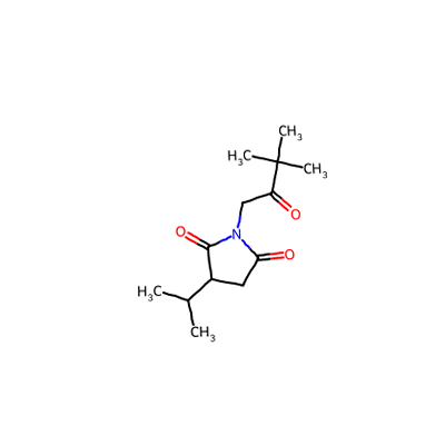 CC(C)C1CC(=O)N(CC(=O)C(C)(C)C)C1=O